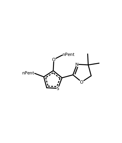 CCCCCOc1c(CCCCC)csc1C1=NC(C)(C)CO1